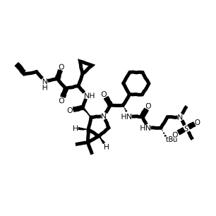 C=CCNC(=O)C(=O)C(NC(=O)[C@@H]1[C@@H]2[C@H](CN1C(=O)[C@@H](NC(=O)N[C@H](CN(C)S(C)(=O)=O)C(C)(C)C)C1CCCCC1)C2(C)C)C1CC1